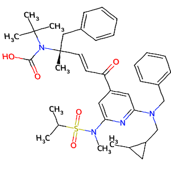 CC1CC1CN(Cc1ccccc1)c1cc(C(=O)/C=C/[C@@](C)(Cc2ccccc2)N(C(=O)O)C(C)(C)C)cc(N(C)S(=O)(=O)C(C)C)n1